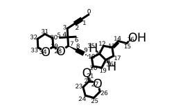 CC#CCC(C)(C)[C@@H](C#C[C@@H]1[C@H]2CC(=CCO)C[C@H]2C[C@H]1OC1CCCCO1)OC1CCCCO1